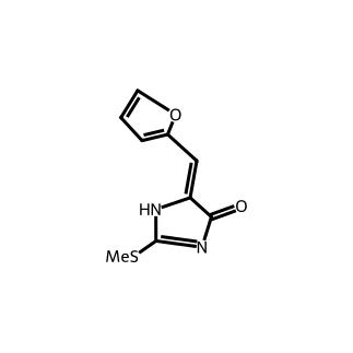 CSC1=NC(=O)C(=Cc2ccco2)N1